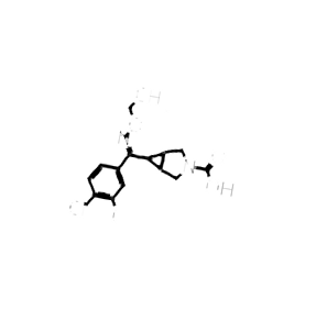 CCON=C(c1ccc(Cl)c(Cl)c1)C1C2CN(C(=O)O)CC21